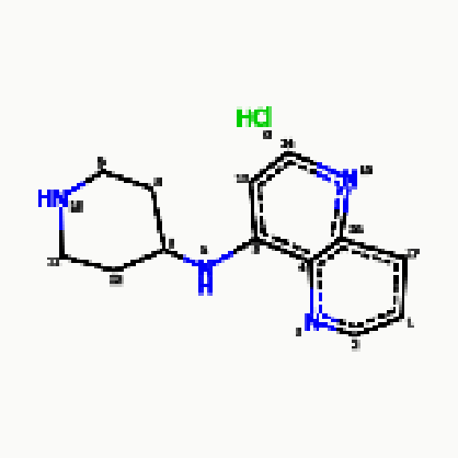 Cl.c1cnc2c(NC3CCNCC3)ccnc2c1